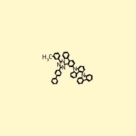 Cc1cccc(-c2nc(-c3ccc(-c4ccccc4)cc3)nc(-c3cc(-n4c5ccccc5c5c(-n6c7ccccc7c7ccccc76)cccc54)ccc3-c3ccccc3)n2)c1